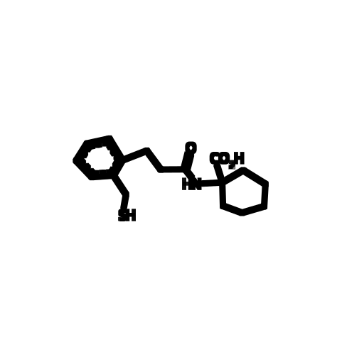 O=C(CCc1ccccc1CS)NC1(C(=O)O)CCCCC1